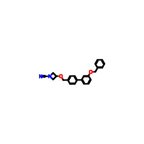 N#CN1CC(OCc2ccc(-c3cccc(OCc4ccccc4)c3)cc2)C1